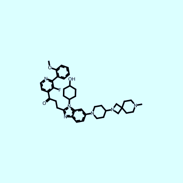 COc1ccccc1-c1nccc(C(=O)CCc2nc3ccc(N4CCC(N5CC6(CCN(C)CC6)C5)CC4)cc3n2C2CCC(O)CC2)c1F